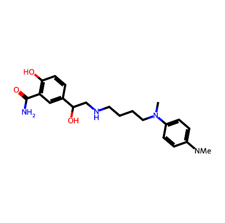 CNc1ccc(N(C)CCCCNCC(O)c2ccc(O)c(C(N)=O)c2)cc1